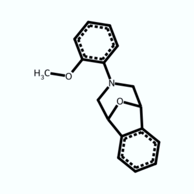 COc1ccccc1N1CC2OC(C1)c1ccccc12